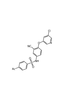 CC(=O)c1ccc(S(=O)(=O)Nc2ccc(Oc3cncc(Cl)c3)c(C#N)c2)cc1